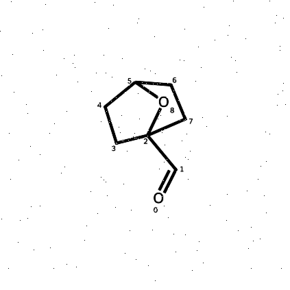 O=CC12CCC(CC1)O2